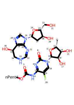 CCCCCOC(=O)Nc1nc(=O)n([C@@H]2O[C@H](C)[C@@H](O)[C@H]2O)cc1F.OC[C@H]1O[C@@H](n2cnc3c2N=CNC[C@H]3O)C[C@@H]1O